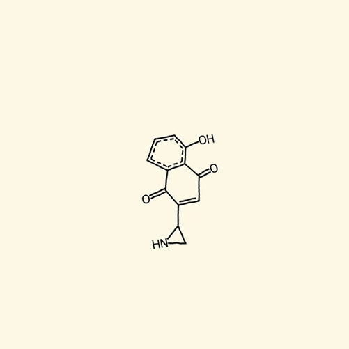 O=C1C(C2CN2)=CC(=O)c2c(O)cccc21